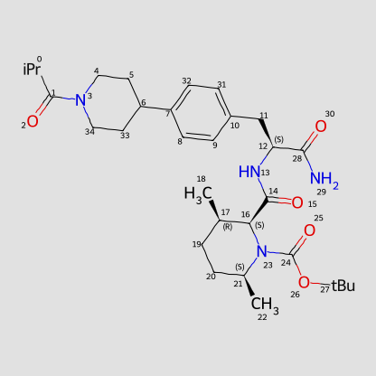 CC(C)C(=O)N1CCC(c2ccc(C[C@H](NC(=O)[C@@H]3[C@H](C)CC[C@H](C)N3C(=O)OC(C)(C)C)C(N)=O)cc2)CC1